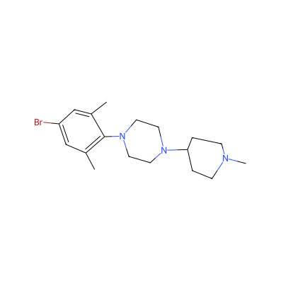 Cc1cc(Br)cc(C)c1N1CCN(C2CCN(C)CC2)CC1